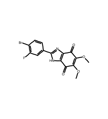 COC1=C(OC)C(=O)c2[nH]c(-c3ccc(Br)c(F)c3)nc2C1=O